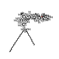 CCCCCCCCCCCCC/C=C/[C@@H](O)[C@H](CO[C@@H]1OC(CO)[C@@H](O[C@@H]2OC(CO)[C@H](O)[C@H](O[C@@H]3OC(CO)[C@@H](O[C@@H]4OC(CO)[C@H](O)[C@H](O[C@H]5OC(CO)[C@@H](O[C@@H]6OC(CO)[C@H](O)[C@H](O[C@]7(C(=O)O)CC(O)[C@@H](NC(C)=O)C([C@H](O)[C@H](O)CO)O7)C6O)[C@H](O)C5NC(C)=O)C4O)[C@H](O)C3NC(C)=O)C2O)[C@H](O)C1O)NC(=O)CCCCCCCCCCCCCCCCCCCCCCC